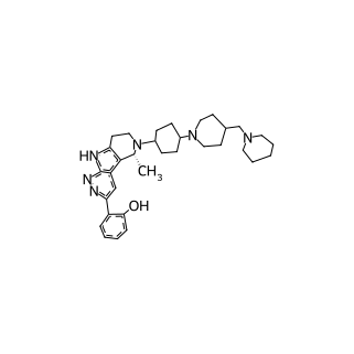 C[C@@H]1c2c([nH]c3nnc(-c4ccccc4O)cc23)CCN1C1CCC(N2CCC(CN3CCCCC3)CC2)CC1